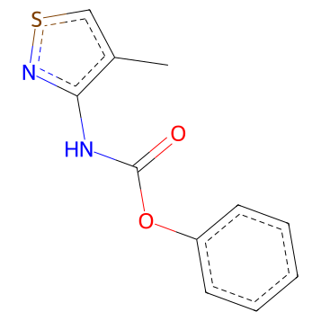 Cc1csnc1NC(=O)Oc1ccccc1